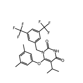 Cc1cc(C)cc(Oc2c(C(C)C)c(=O)[nH]c(=O)n2Cc2cc(C(F)(F)F)cc(C(F)(F)F)c2)c1